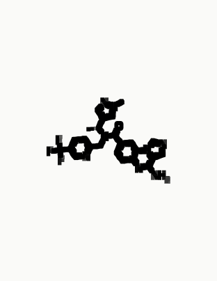 C[C@H](c1cnn(C)c1)N(Cc1ccc(C(F)(F)F)cn1)C(=O)c1ccc2nc(N)c3cncn3c2c1